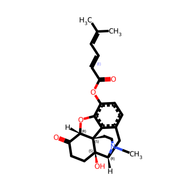 CC(C)=C/C=C/C(=O)Oc1ccc2c3c1O[C@H]1C(=O)CC[C@@]4(O)[C@@H](C2)N(C)CC[C@]314